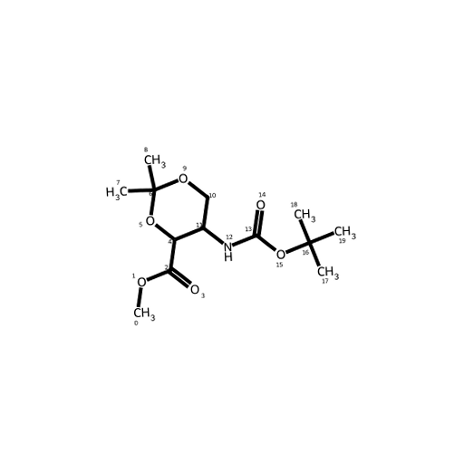 COC(=O)C1OC(C)(C)OCC1NC(=O)OC(C)(C)C